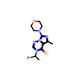 Cc1nc(N2CCOCC2)n2ncn(C(C)C(C)C)c(=O)c12